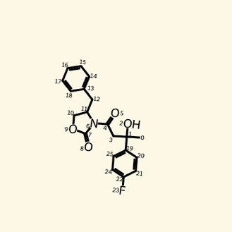 CC(O)(CC(=O)N1C(=O)OCC1Cc1ccccc1)c1ccc(F)cc1